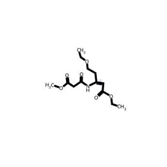 CCOCC/C(=C/C(=O)OCC)NC(=O)CC(=O)OC